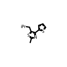 Cc1nc(-c2cccs2)c(CC(C)C)s1